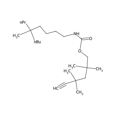 C#CC(C)(C)CC(C)(C)COC(=O)NCCCCC(C)(CCC)CCCC